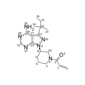 C=CC(=O)N1CCC[C@@H](n2nc(C(C)(C)CC)c3c(N)ncnc32)C1